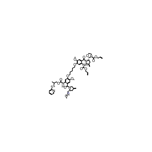 C=CCOC(=O)Nc1cc(OCCCCCOc2cc(NC(=O)OCC(C)SSc3ccccn3)c(C(=O)N3CC(=C)C[C@H]3/C=N/OC)cc2OC)c(OC)cc1C(=O)N1CC(=C)C[C@H]1C1OCCN1C(=O)OCC=C